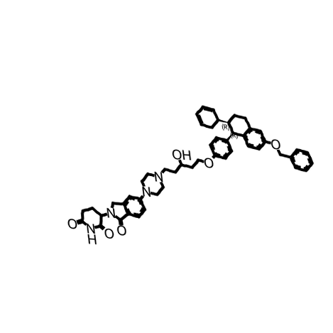 O=C1CCC(N2Cc3cc(N4CCN(CCC(O)CCOc5ccc([C@@H]6c7ccc(OCc8ccccc8)cc7CC[C@@H]6C6C=CC=CC6)cc5)CC4)ccc3C2=O)C(=O)N1